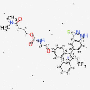 CN(C)C(=O)CCCOC(=O)NCCOc1ccc(/C(=C(/CC(F)(F)F)c2ccccc2)c2ccc3[nH]nc(F)c3c2)cc1